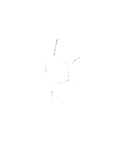 CC(=O)CC(C)N(C)C(=O)OC(C)(C)C